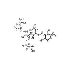 CCC(C)(CNC(=O)c1c(C)nc2c(OCc3c(F)ccc(OC)c3F)cc(C)cn12)NC(=O)O.O=C(O)C(F)(F)F